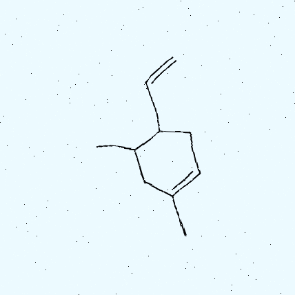 C=CC1CC=C(C)CC1C